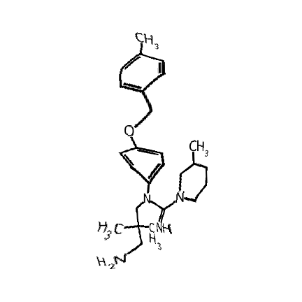 Cc1ccc(COc2ccc(N(CC(C)(C)CN)C(=N)N3CCCC(C)C3)cc2)cc1